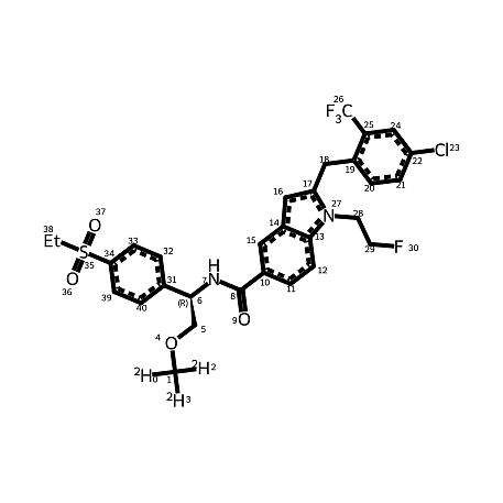 [2H]C([2H])([2H])OC[C@H](NC(=O)c1ccc2c(c1)cc(Cc1ccc(Cl)cc1C(F)(F)F)n2CCF)c1ccc(S(=O)(=O)CC)cc1